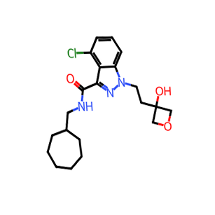 O=C(NCC1CCCCCC1)c1nn(CCC2(O)COC2)c2cccc(Cl)c12